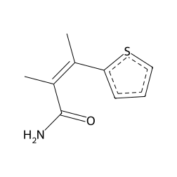 CC(C(N)=O)=C(C)c1cccs1